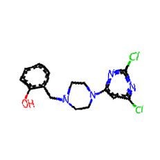 Oc1ccccc1CN1CCN(c2cc(Cl)nc(Cl)n2)CC1